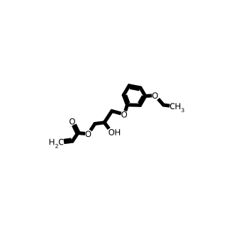 C=CC(=O)OCC(O)COc1cccc(OCC)c1